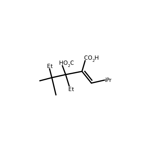 CCC(C)(C)C(CC)(C(=O)O)C(=CC(C)C)C(=O)O